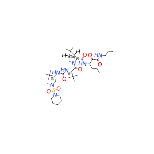 CCCNC(=O)C(=O)C(CCC)NC(=O)[C@@H]1[C@@H]2[C@H](CN1C(=O)[C@@H](NC(=O)N[C@H](CN(C)S(=O)(=O)N1CCCCC1)C(C)(C)C)C(C)(C)C)C2(C)C